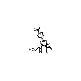 CCc1c(C)sc2nc(N3CCN(C(C)=O)CC3)nc(NCCO)c12